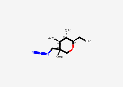 CC(=O)OC[C@H]1OC[C@@](CN=[N+]=[N-])(OC(C)=O)[C@@H](OC(C)=O)[C@@H]1OC(C)=O